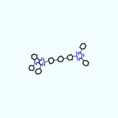 c1ccc(-c2nc(-c3ccccc3)nc(-c3ccc(-c4ccc(-c5ccc(-c6nc(-c7ccccc7)c7c(n6)c6ccccc6n7-c6ccccc6)cc5)cc4)cc3)n2)cc1